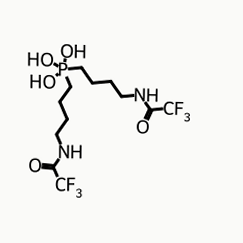 O=C(NCCCCP(O)(O)(O)CCCCNC(=O)C(F)(F)F)C(F)(F)F